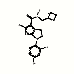 CCCN(CC1CCC1)C(=O)c1c(CC)nc2n1CCN2c1ccc(C(C)C)cc1Br